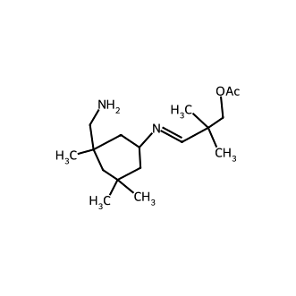 CC(=O)OCC(C)(C)C=NC1CC(C)(C)CC(C)(CN)C1